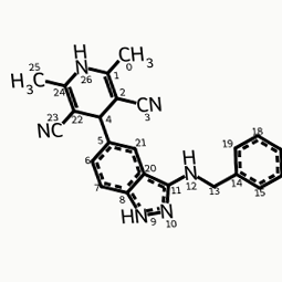 CC1=C(C#N)C(c2ccc3[nH]nc(NCc4ccccc4)c3c2)C(C#N)=C(C)N1